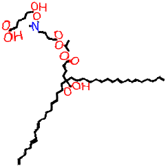 CCCCC/C=C/C/C=C/CCCCCCCCC(CCCCCCCC/C=C/C/C=C/CCCCC)(CCCC(=O)OCC(C)OC(=O)CCCN(C)C)C(=O)O.O=C(O)CCCCC(=O)O